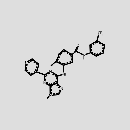 Cc1ccc(C(=O)Nc2cccc(C(F)(F)F)c2)cc1Nc1nc(-c2ccncc2)nc2c1ncn2C